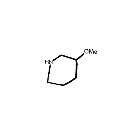 [CH2]OC1CCCNC1